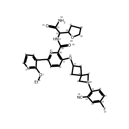 CCOc1ncccc1-c1ccc(OC2CC3(C2)CN(c2ccc(F)cc2C#N)C3)c(C(=O)NC(C(N)=O)C2CCCO2)n1